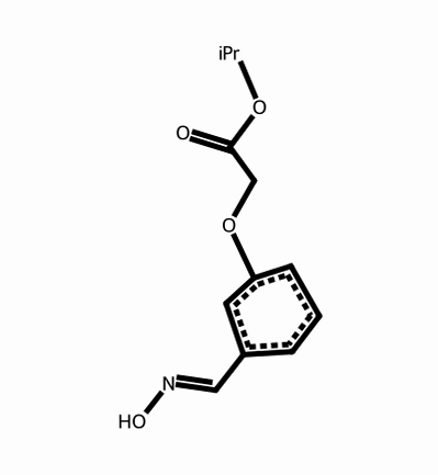 CC(C)OC(=O)COc1cccc(/C=N/O)c1